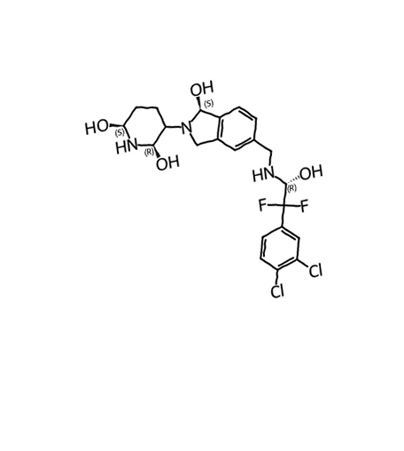 O[C@H]1CCC(N2Cc3cc(CN[C@H](O)C(F)(F)c4ccc(Cl)c(Cl)c4)ccc3[C@@H]2O)[C@@H](O)N1